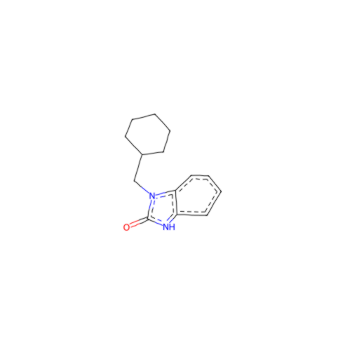 O=c1[nH]c2ccccc2n1CC1CCCCC1